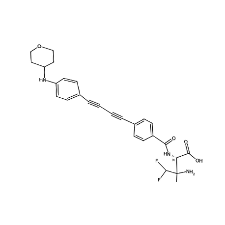 CC(N)(C(F)F)[C@H](NC(=O)c1ccc(C#CC#Cc2ccc(NC3CCOCC3)cc2)cc1)C(=O)O